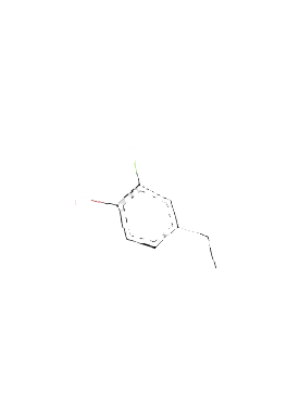 C[CH]c1ccc(Br)c(F)c1